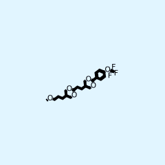 COCCCC1COC(CCC2COC(c3ccc(OC(F)(F)F)cc3)OC2)OC1